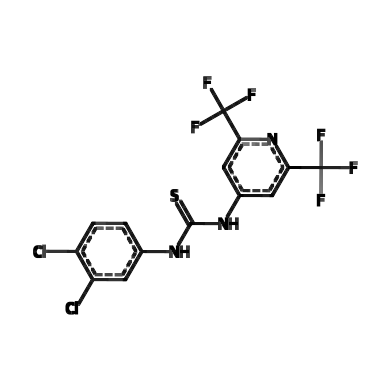 FC(F)(F)c1cc(NC(=S)Nc2ccc(Cl)c(Cl)c2)cc(C(F)(F)F)n1